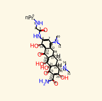 CCCNCC(=O)Nc1cc(N(C)C)c2c(c1O)C(=O)C1=C(O)[C@]3(O)C(=O)C(C(N)=O)=C(O)[C@@H](N(C)C)[C@@H]3C[C@@H]1C2